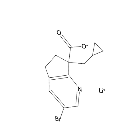 O=C([O-])C1(CC2CC2)CCc2cc(Br)cnc21.[Li+]